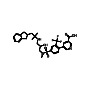 CN(CC(O)CNC(C)(C)CC1Cc2ccccc2C1)S(=O)(=O)c1ccc(-c2cncc(C(=O)O)c2)c(C(F)(F)F)c1